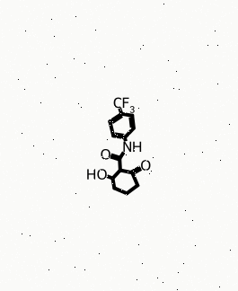 O=C1CCCC(O)C1C(=O)Nc1ccc(C(F)(F)F)cc1